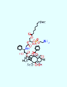 CCCCCCCCCCCCCCCCC(=O)OCC(COP(=O)(O)OCCN)OC(=O)CNC(c1ccccc1)[C@@H](O)C(=O)O[C@H]1C[C@@]2(O)[C@@H](OC(=O)c3ccccc3)C3[C@](C)(C(=O)[C@H](OC(C)=O)C(=C1C)C2(C)C)[C@@H](O)C[C@H]1OC[C@@]31OC(C)=O